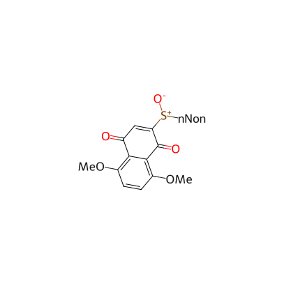 CCCCCCCCC[S+]([O-])C1=CC(=O)c2c(OC)ccc(OC)c2C1=O